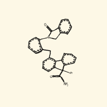 CCCC1(C(N)=O)c2ccccc2-c2c(Cc3ccccc3N3Cc4ccccc4C3=O)cccc21